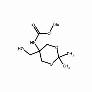 CC(C)(C)OC(=O)NC1(CO)COC(C)(C)OC1